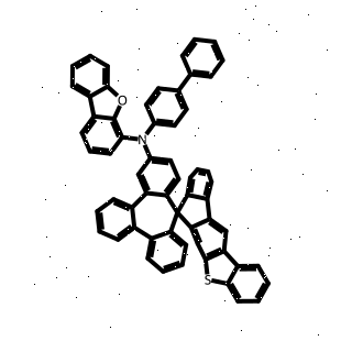 c1ccc(-c2ccc(N(c3ccc4c(c3)-c3ccccc3-c3ccccc3C43c4ccccc4-c4cc5c(cc43)sc3ccccc35)c3cccc4c3oc3ccccc34)cc2)cc1